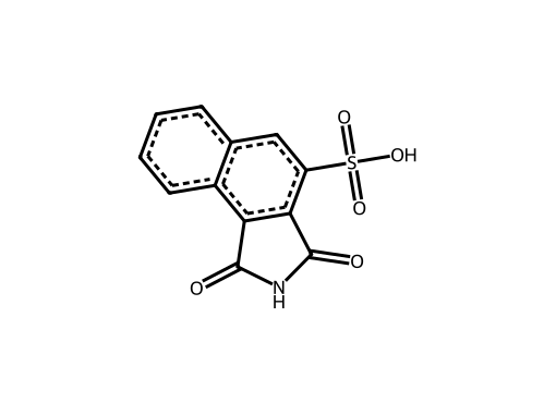 O=C1NC(=O)c2c1c(S(=O)(=O)O)cc1ccccc21